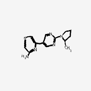 C[C@@H]1CCCN1c1ncc(-c2cncc(N)n2)cn1